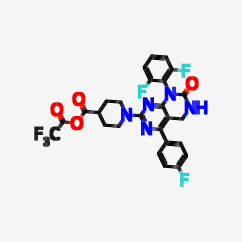 O=C(OC(=O)C(F)(F)F)C1CCN(c2nc(-c3ccc(F)cc3)c3c(n2)N(c2c(F)cccc2F)C(=O)NC3)CC1